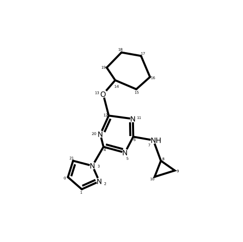 c1cnn(-c2nc(NC3CC3)nc(OC3CCCCC3)n2)c1